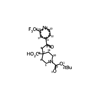 CC(C)(C)OC(=O)N1CCC(CC(=O)c2ccnc(C(F)(F)F)c2)(C(=O)O)CC1